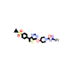 CC(C)c1noc(N2CCC(Oc3ncnc4c(-c5ccc(S(=O)(=O)C6CC6)cc5)csc34)CC2)n1